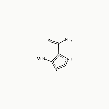 CNc1nc[nH]c1C(N)=S